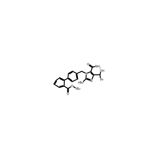 CCCCc1nc(C(O)C(C)C)c(C(N)=O)n1Cc1ccc(-c2ccccc2C(=O)OC(C)(C)C)cc1